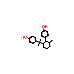 CC1CCCC(C(C)(C)c2ccc(O)cc2)C1c1ccc(O)cc1